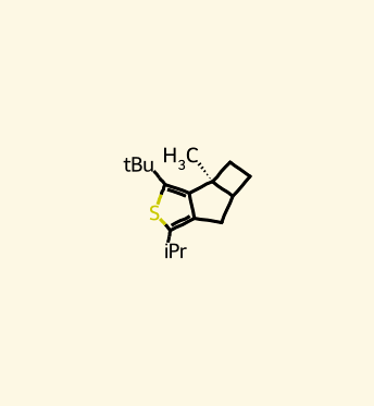 CC(C)c1sc(C(C)(C)C)c2c1CC1CC[C@]21C